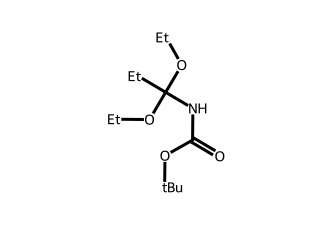 CCOC(CC)(NC(=O)OC(C)(C)C)OCC